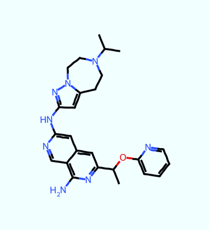 CC(Oc1ccccn1)c1cc2cc(Nc3cc4n(n3)CCN(C(C)C)CC4)ncc2c(N)n1